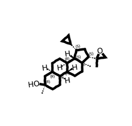 CC1([C@H]2C[C@@H](C3CC3)[C@H]3[C@@H]4CC[C@@H]5C[C@](C)(O)CC[C@@H]5[C@H]4CC[C@@]32C)CO1